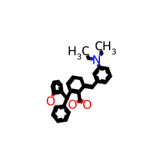 CCN(CC)c1cccc(C=C2CC=CC3=C2C(=O)OC32c3ccccc3Oc3ccccc32)c1